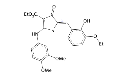 CCOC(=O)C1=C(Nc2ccc(OC)c(OC)c2)S/C(=C\c2cccc(OCC)c2O)C1=O